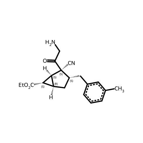 CCOC(=O)[C@H]1[C@@H]2C[C@@H](Cc3cccc(C)c3)[C@](C#N)(C(=O)CN)[C@@H]21